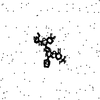 CCn1nccc1C(=O)N[C@H](c1cn2nc(C[C@H]3C[C@@H](C(F)(F)F)CNC3=O)c(C3CC4CCC(C3)O4)nc2n1)C1CCC(F)(F)CC1